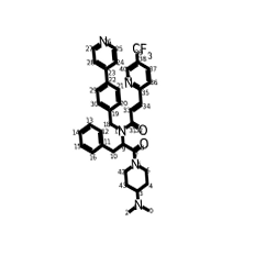 CN(C)C1CCN(C(=O)C(Cc2ccccc2)N(Cc2ccc(-c3ccncc3)cc2)C(=O)C=Cc2ccc(C(F)(F)F)cn2)CC1